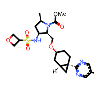 COC(=O)N1[C@H](C)C[C@H](NS(=O)(=O)C2COC2)[C@@H]1CO[C@H]1CC[C@@]2(c3ncc(F)cn3)C[C@H]2C1